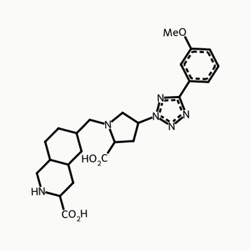 COc1cccc(-c2nnn(C3CC(C(=O)O)N(CC4CCC5CNC(C(=O)O)CC5C4)C3)n2)c1